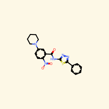 O=C(Nc1nnc(-c2ccccc2)s1)c1cc(N2CCCCC2)ccc1[N+](=O)[O-]